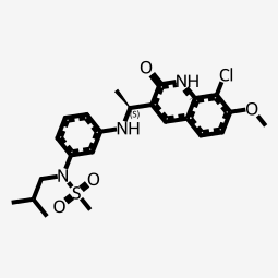 COc1ccc2cc([C@H](C)Nc3cccc(N(CC(C)C)S(C)(=O)=O)c3)c(=O)[nH]c2c1Cl